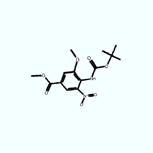 COC(=O)c1cc(OC)c(NC(=O)OC(C)(C)C)c([N+](=O)[O-])c1